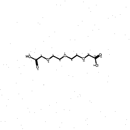 O=C(O)COCCOCCOCC(=O)Cl